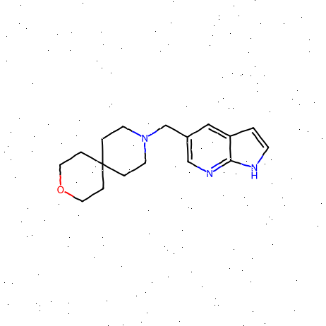 c1cc2cc(CN3CCC4(CCOCC4)CC3)cnc2[nH]1